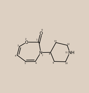 O=C1OC=CC=CN1C1CCNCC1